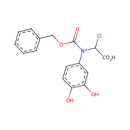 O=C(O)C(Cl)N(C(=O)OCc1ccccc1)c1ccc(O)c(O)c1